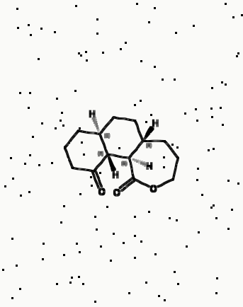 O=C1CCC[C@H]2CC[C@@H]3CCCOC(=O)[C@H]3[C@H]12